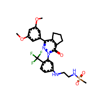 COc1cc(OC)cc(-c2nn(-c3cc(NCCNS(C)(=O)=O)ccc3C(F)(F)F)c(=O)c3c2CCC3)c1